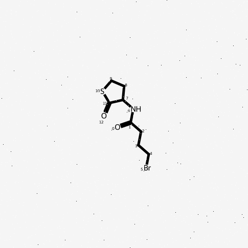 O=C(CCCBr)NC1CCSC1=O